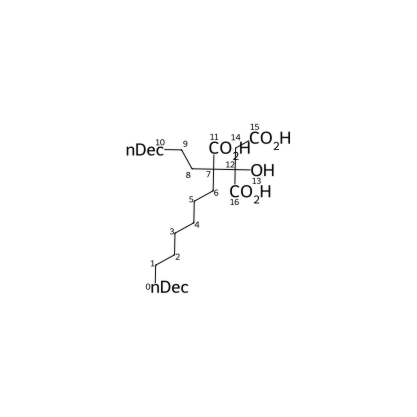 CCCCCCCCCCCCCCCCC(CCCCCCCCCCCC)(C(=O)O)C(O)(CC(=O)O)C(=O)O